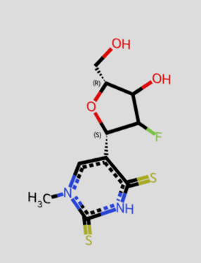 Cn1cc([C@@H]2O[C@H](CO)C(O)C2F)c(=S)[nH]c1=S